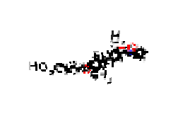 CCC(CC)(c1ccc(/C=C/C2(O)CCCC2)c(C)c1)c1ccc(OCCCCCC(=O)O)c(C)c1